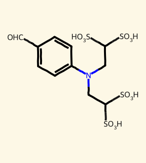 O=Cc1ccc(N(CC(S(=O)(=O)O)S(=O)(=O)O)CC(S(=O)(=O)O)S(=O)(=O)O)cc1